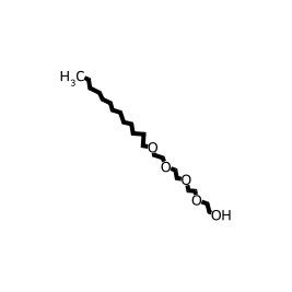 CCCCCCCCCCCCCOCCOCCOCCOCCO